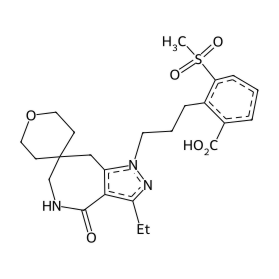 CCc1nn(CCCc2c(C(=O)O)cccc2S(C)(=O)=O)c2c1C(=O)NCC1(CCOCC1)C2